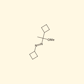 COC(C)(/N=N/C1CCC1)C1CCC1